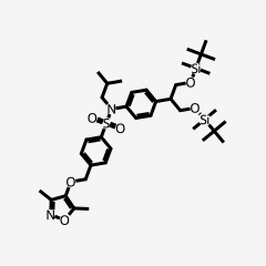 Cc1noc(C)c1OCc1ccc(S(=O)(=O)N(CC(C)C)c2ccc(C(CO[Si](C)(C)C(C)(C)C)CO[Si](C)(C)C(C)(C)C)cc2)cc1